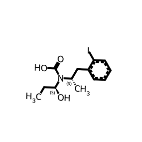 CC[C@H](O)N(C(=O)O)[C@@H](C)Cc1ccccc1I